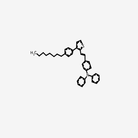 CCCCCCCCc1ccc(-c2ccsc2C=Cc2ccc(N(c3ccccc3)c3ccccc3)cc2)cc1